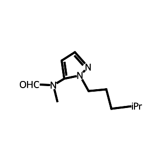 CC(C)CCCn1nccc1N(C)C=O